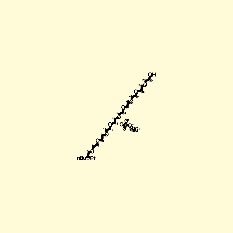 CCCCC(CC)COCCOCCOCCOCCOCCOCCOCCOCCOCCO.O=S(=O)([O-])[O-].[Na+].[Na+]